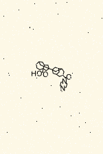 CN1CCN(C(=O)C2CC3CC4CC(C56CC7CCCC(C(=O)O)(C5)C(C7)C6)(C3)CC4C2)CC1